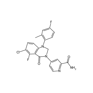 Cc1cc(F)ccc1N1CN(c2ccnc(C(N)=O)c2)C(=O)c2c1ccc(Cl)c2F